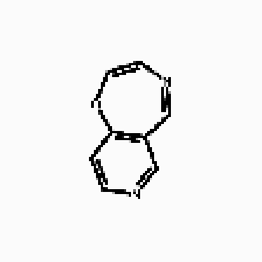 C1=COc2ccncc2C=N1